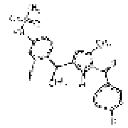 Cc1cc(C(C)c2ccc(NS(C)(=O)=O)cc2F)[nH]c1C(=O)c1ccc(F)cc1